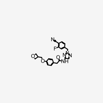 N#Cc1ccc(Cn2ncc(NC(=O)Cc3ccc(OCC4COC4)cc3)n2)cc1F